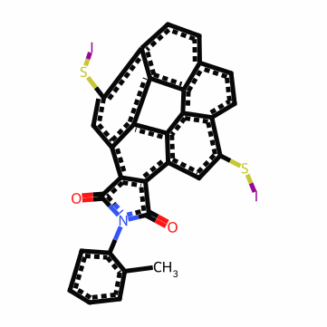 Cc1ccccc1-n1c(=O)c2c3cc(SI)c4ccc5ccc6c(SI)cc(c2c1=O)c1c6c5c4c31